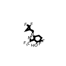 O[C@H]1c2c(C(F)(F)F)nn(CC3CC3(F)F)c2CCC1(F)F